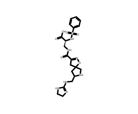 O=C(NC[C@H](NS(=O)(=O)c1ccccc1)C(=O)O)C1=NOC2(CNC(CNC3=NCCN3)C2)C1